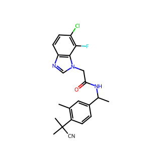 Cc1cc(C(C)NC(=O)Cn2cnc3ccc(Cl)c(F)c32)ccc1C(C)(C)C#N